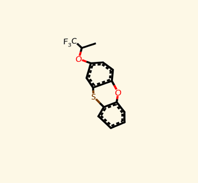 CC(Oc1ccc2c(c1)Sc1ccccc1O2)C(F)(F)F